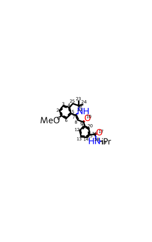 COc1ccc2c(c1)C(=CC(=O)c1cccc(C(=O)NC(C)C)c1)NC(C)(C)C2